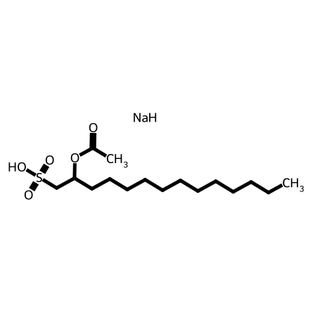 CCCCCCCCCCCCC(CS(=O)(=O)O)OC(C)=O.[NaH]